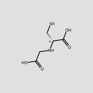 O=C(O)CN[C@H](CS)C(=O)O